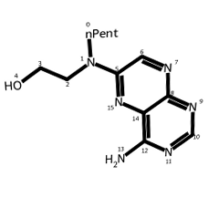 CCCCCN(CCO)c1cnc2ncnc(N)c2n1